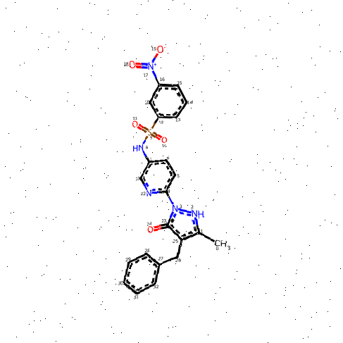 Cc1[nH]n(-c2ccc(NS(=O)(=O)c3cccc([N+](=O)[O-])c3)cn2)c(=O)c1Cc1ccccc1